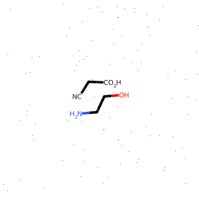 N#CCC(=O)O.NCCO